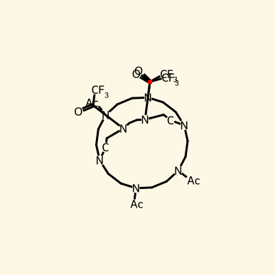 CC(=O)N1CCN2CCN(C(C)=O)CCN(C(=O)C(F)(F)F)CCN(CCN(C(C)=O)CC1)CCN(C(=O)C(F)(F)F)CCN(C(=O)C(F)(F)F)CC2